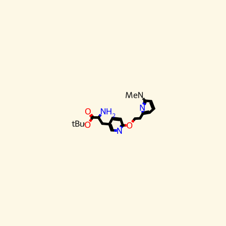 CNc1cccc(CCOc2ccc(CC(N)C(=O)OC(C)(C)C)cn2)n1